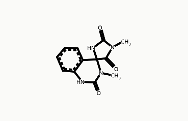 CN1C(=O)NC2(C1=O)c1ccccc1NC(=O)N2C